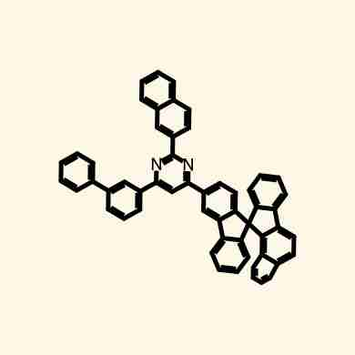 c1ccc(-c2cccc(-c3cc(-c4ccc5c(c4)-c4ccccc4C54c5ccccc5-c5ccc6ccccc6c54)nc(-c4ccc5ccccc5c4)n3)c2)cc1